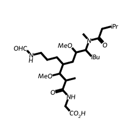 CCC(C)C(C(CC(CCCNC=O)C(OC)C(C)C(=O)NCC(=O)O)OC)N(C)C(=O)CC(C)C